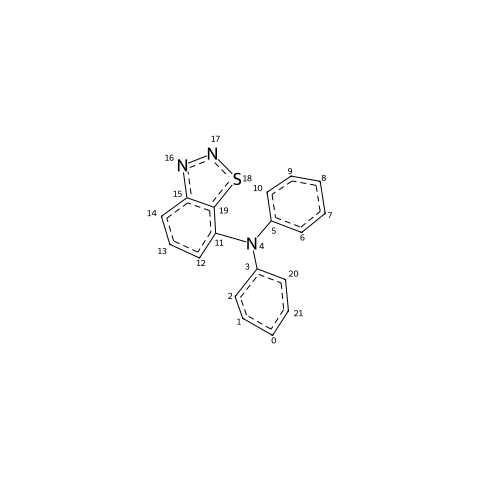 c1ccc(N(c2ccccc2)c2cccc3nnsc23)cc1